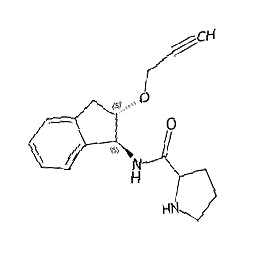 C#CCO[C@H]1Cc2ccccc2[C@@H]1NC(=O)C1CCCN1